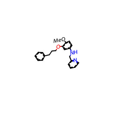 COc1ccc(NCc2ccccn2)cc1OCCCc1ccccc1